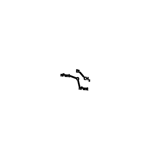 CCC.CCCCCOCCCCC